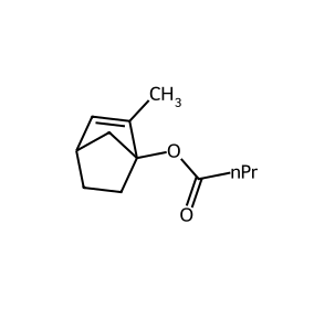 CCCC(=O)OC12CCC(C=C1C)C2